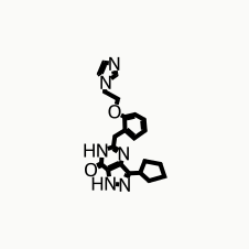 O=c1[nH]c(Cc2ccccc2OCCn2ccnc2)nc2c(C3CCCC3)n[nH]c12